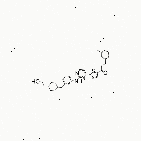 Cc1cccc(CCC(=O)c2ccc(-c3ccnc(Nc4cccc(CC5CCC(CCO)CC5)c4)n3)s2)c1